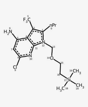 CCCc1c(C(F)(F)F)c2c(N)cc(Cl)nc2n1COCC[Si](C)(C)C